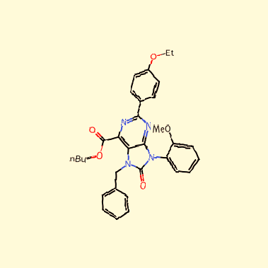 CCCCOC(=O)c1nc(-c2ccc(OCC)cc2)nc2c1n(Cc1ccccc1)c(=O)n2-c1ccccc1OC